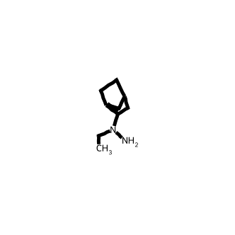 CCN(N)C1=C2CCC(C2)C1